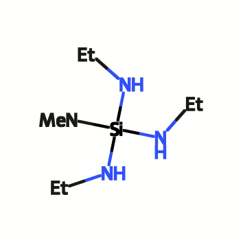 CCN[Si](NC)(NCC)NCC